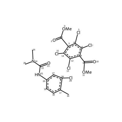 COC(=O)c1c(Cl)c(Cl)c(C(=O)OC)c(Cl)c1Cl.Cc1ccc(NC(=O)N(C)C)cc1Cl